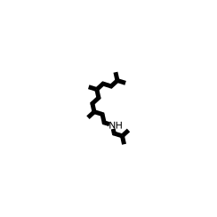 CC(C)CCC(C)CCC(C)CCNCC(C)C